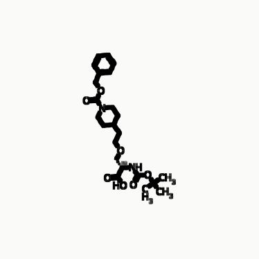 CC(C)(C)OC(=O)N[C@@H](COCCC1CCN(C(=O)OCc2ccccc2)CC1)C(=O)O